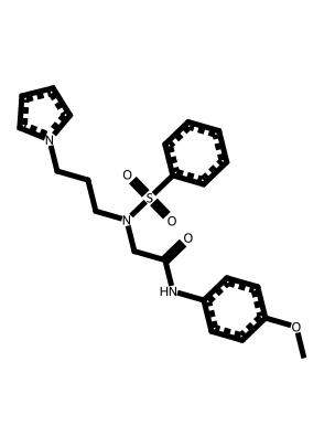 COc1ccc(NC(=O)CN(CCCn2cccc2)S(=O)(=O)c2ccccc2)cc1